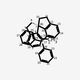 Cc1cccc2c1[C@@]1(CC2)CCc2cccc(P(c3ccccc3)c3ccccc3)c21